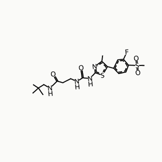 Cc1nc(NC(=O)NCCC(=O)NCC(C)(C)C)sc1-c1ccc(S(C)(=O)=O)c(F)c1